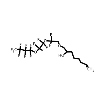 C=CCCCCC(O)COCC(F)(F)OC(F)(F)C(F)(F)OC(F)(F)C(F)(F)C(F)(F)C(F)(F)F